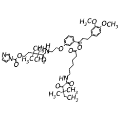 CCC(C)(C)C(=O)C(=O)NCCCCCC(=O)O[C@H](CCc1ccc(OC)c(OC)c1)c1cccc(OCCNC(=O)C(C)(C)C(C)(C)CCOC(=O)n2ccnc2)c1